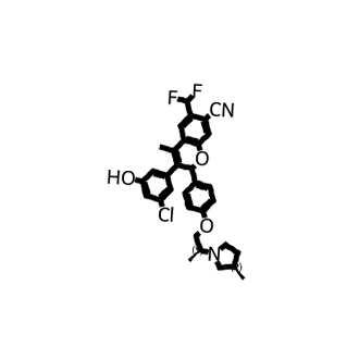 CC1=C(c2cc(O)cc(Cl)c2)C(c2ccc(OC[C@H](C)N3CC[C@@H](C)C3)cc2)Oc2cc(C#N)c(C(F)F)cc21